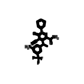 CC(c1cc(N)cc(C(F)(F)F)c1)c1c(C(N)=O)nn(-c2ccccc2)c(=O)c1C#N